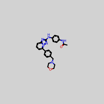 CC(=O)Nc1ccc(Nc2nc3cccc(-c4ccc(CN5CCOCC5)cc4)n3n2)cc1